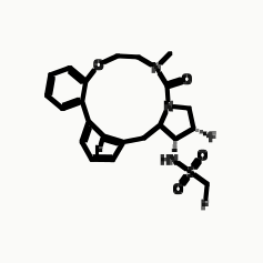 CN1CCOc2ccccc2-c2cccc(c2F)CC2[C@@H](NS(=O)(=O)CF)[C@@H](F)CN2C1=O